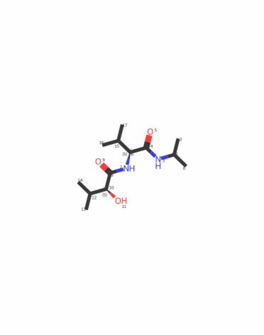 CC(C)NC(=O)[C@@H](NC(=O)[C@@H](O)C(C)C)C(C)C